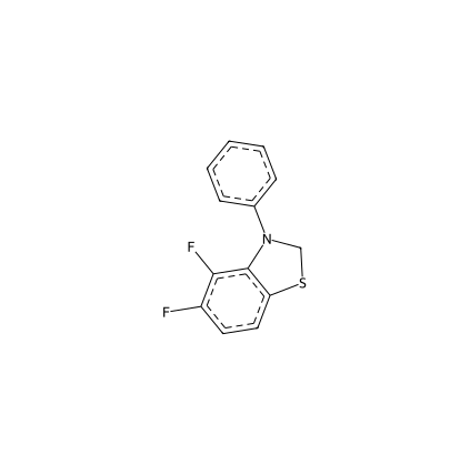 Fc1ccc2c(c1F)N(c1ccccc1)CS2